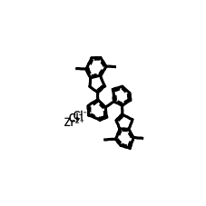 Cc1ccc(C)c2c1C=C(c1ccccc1-c1ccccc1C1=Cc3c(C)ccc(C)c3C1)C2.[Cl-].[Cl-].[Zr+2]